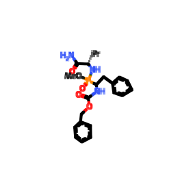 COP(=O)(N[C@H](C(N)=O)C(C)C)C(Cc1ccccc1)NC(=O)OCc1ccccc1